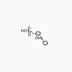 O=C(O)NCCc1cccc(C#Cc2ccccc2)c1O